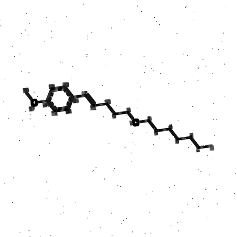 CCCCCCCOCCC/C=C/c1ccc(OC)cc1